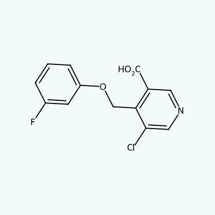 O=C(O)c1cncc(Cl)c1COc1cccc(F)c1